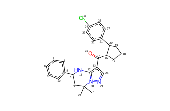 CC1(C)CC(c2ccccc2)Nc2c(C(=O)C3CCCC3c3ccc(Cl)cc3)cnn21